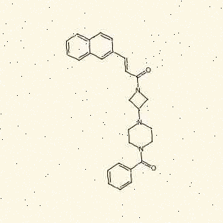 O=C(C=Cc1ccc2ccccc2c1)N1CC(N2CCN(C(=O)c3ccccc3)CC2)C1